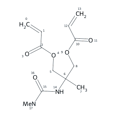 C=CC(=O)OCC(C)(COC(=O)C=C)NC(=O)NC